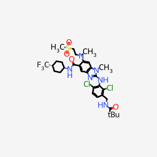 CN(CCS(C)(=O)=O)c1cc2c(cc1C(=O)N[C@H]1CC[C@H](C(F)(F)F)CC1)nc(Nc1c(Cl)ccc(CNC(=O)C(C)(C)C)c1Cl)n2C